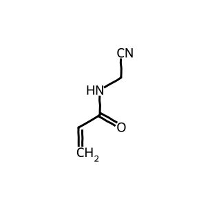 C=CC(=O)NCC#N